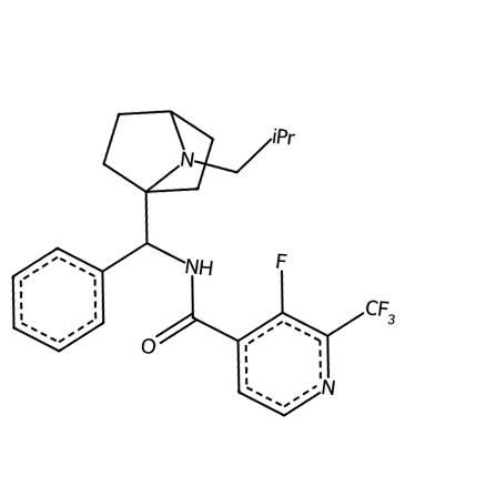 CC(C)CN1C2CCC1(C(NC(=O)c1ccnc(C(F)(F)F)c1F)c1ccccc1)CC2